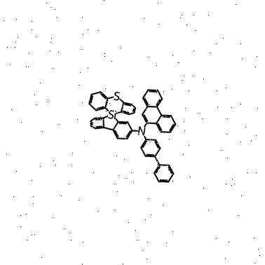 c1ccc(-c2ccc(N(c3ccc4c(c3)[Si]3(c5ccccc5Sc5ccccc53)c3ccccc3-4)c3cc4ccccc4c4ccccc34)cc2)cc1